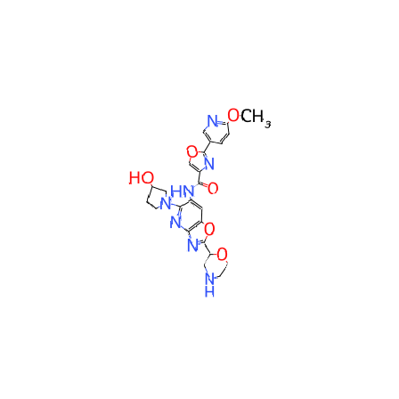 COc1ccc(-c2nc(C(=O)Nc3cc4oc(C5CNCCO5)nc4nc3N3CCC(O)C3)co2)cn1